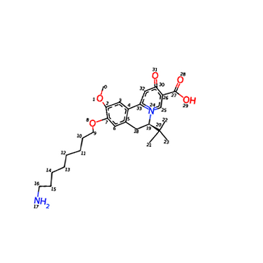 COc1cc2c(cc1OCCCCCCCCN)C[C@H](C(C)(C)C)n1cc(C(=O)O)c(=O)cc1-2